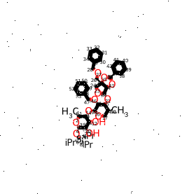 CC1O[C@@H](O[Si](C(C)C)(C(C)C)C(C)C)[C@@H](O)C(O)[C@H]1O[C@@H]1OC[C@@H](C)C(O[C@@H]2OC[C@]3(COCc4ccccc4)O[C@@H](c4ccccc4)OC23)[C@H]1OCc1ccccc1